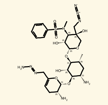 C[C@@H]1C[C@H](N)[C@@H](O[C@H]2OC(CN=NN)=CC[C@H]2N)[C@H](O)[C@H]1O[C@H]1OC[C@@](O)(CN=[N+]=[N-])[C@H](N(C)S(=O)(=O)c2ccccc2)[C@H]1O